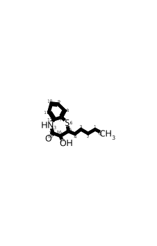 CCCCCC1Sc2ccccc2NC(=O)C1O